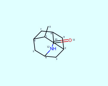 CC1C2CC3CC1CC(C2)C(=O)N3